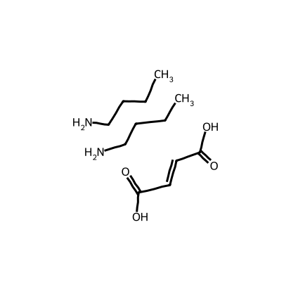 CCCCN.CCCCN.O=C(O)C=CC(=O)O